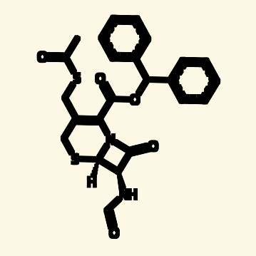 CC(=O)SCC1=C(C(=O)OC(c2ccccc2)c2ccccc2)N2C(=O)[C@@H](NC=O)[C@H]2SC1